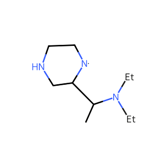 CCN(CC)C(C)C1CNCC[N]1